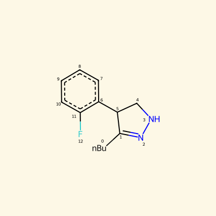 CCCCC1=NNCC1c1ccccc1F